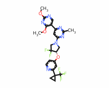 COc1ncc(-c2cc(N3C[C@H](Oc4ccnc(C5(C(F)(F)F)CC5)c4)C(F)(F)C3)nc(C)n2)c(OC)n1